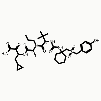 CCCN(C(=O)[C@@H](NC(=O)NC1(CS(=O)(=O)Cc2ccc(O)cc2)CCCCC1)C(C)(C)C)[C@@H](I)C(=O)NC(CC1CC1)C(=O)C(N)=O